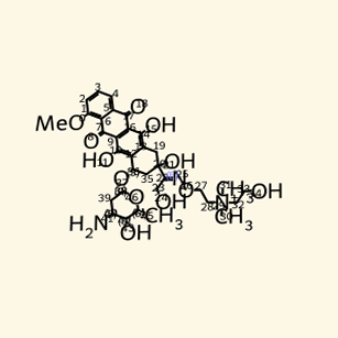 COc1cccc2c1C(=O)c1c(O)c3c(c(O)c1C2=O)CC(O)(/C(CO)=N/OCC[N+](C)(C)CCO)C[C@@H]3O[C@H]1C[C@H](N)[C@H](O)[C@H](C)O1